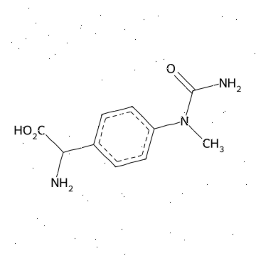 CN(C(N)=O)c1ccc(C(N)C(=O)O)cc1